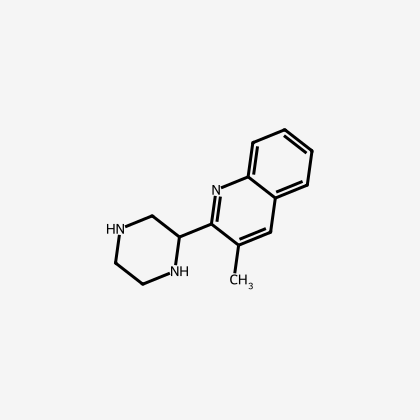 Cc1cc2ccccc2nc1C1CNCCN1